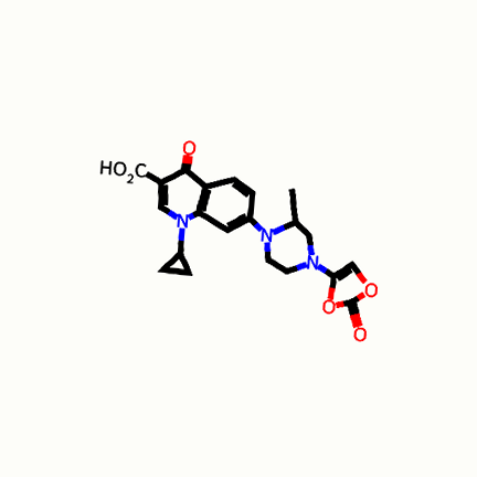 CC1CN(c2coc(=O)o2)CCN1c1ccc2c(=O)c(C(=O)O)cn(C3CC3)c2c1